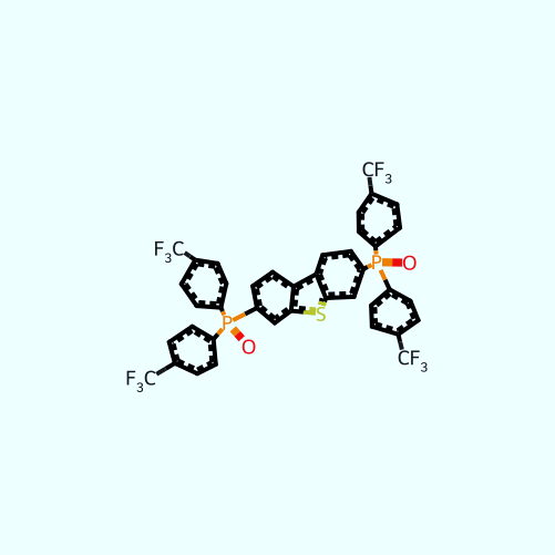 O=P(c1ccc(C(F)(F)F)cc1)(c1ccc(C(F)(F)F)cc1)c1ccc2c(c1)sc1cc(P(=O)(c3ccc(C(F)(F)F)cc3)c3ccc(C(F)(F)F)cc3)ccc12